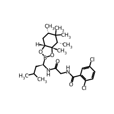 CC(C)C[C@H](NC(=O)CNC(=O)c1cc(Cl)ccc1Cl)B1O[C@@H]2C[C@H](C)C(C)(C)[C@H](C)[C@]2(C)O1